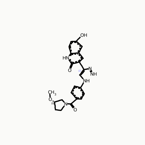 CO[C@H]1CCN(C(=O)c2ccc(N/C=C(\N=N)c3cc4cc(O)ccc4[nH]c3=O)cc2)C1